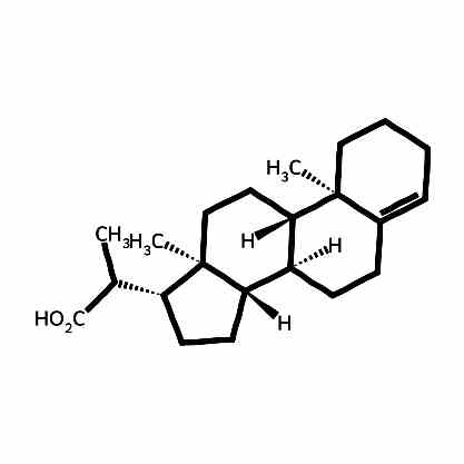 CC(C(=O)O)[C@H]1CC[C@H]2[C@@H]3CCC4=CCCC[C@]4(C)[C@H]3CC[C@]12C